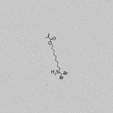 C=C(C)C(=O)OCCCCCCCCC[SiH2]C(Br)Br